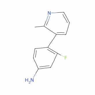 Cc1ncccc1-c1ccc(N)cc1F